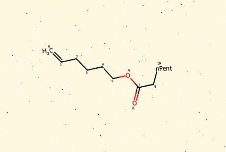 C=CCCCCOC(=O)CCCCCC